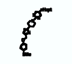 CCCCCCCc1cnc(N2CCC(c3nc(COc4ccc(SC)cc4)cs3)CC2)nc1